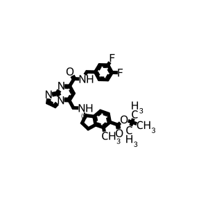 Cc1c(C(=O)OC(C)(C)C)ccc2c1CC[C@@H]2NCc1cc(C(=O)NCc2ccc(F)c(F)c2)nc2nccn12